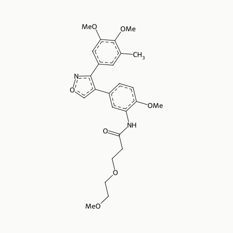 COCCOCCC(=O)Nc1cc(-c2conc2-c2cc(C)c(OC)c(OC)c2)ccc1OC